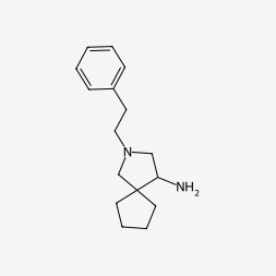 NC1CN(CCc2ccccc2)CC12CCCC2